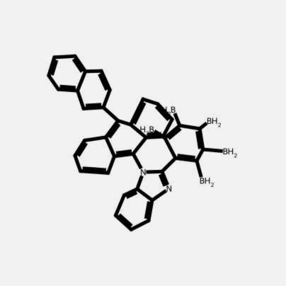 Bc1c(B)c(B)c(-c2nc3ccccc3n2-c2c3ccccc3c(-c3ccc4ccccc4c3)c3ccccc23)c(B)c1B